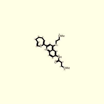 COCCOc1cc(/C2=C/CCC/C=C/S2)nc2ccc(NC(=O)CCOC)cc12